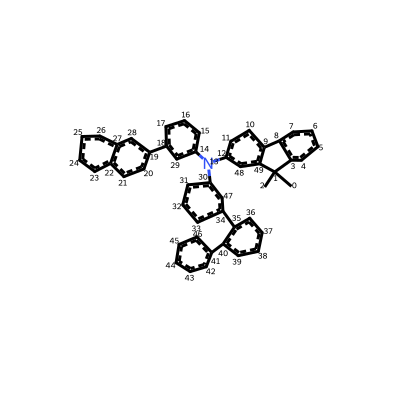 CC1(C)c2ccccc2-c2ccc(N(c3cccc(-c4ccc5ccccc5c4)c3)c3cccc(-c4ccccc4-c4ccccc4)c3)cc21